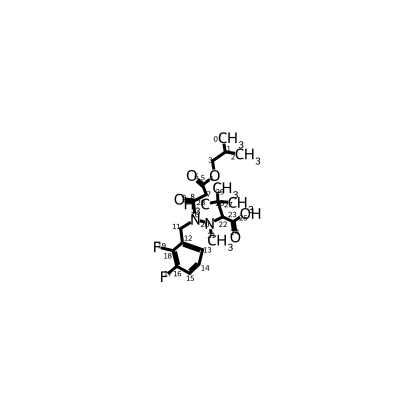 CC(C)COC(=O)CC(=O)N(Cc1cccc(F)c1F)N(C)C(C(=O)O)C(C)(C)C